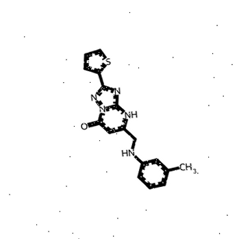 Cc1cccc(NCc2cc(=O)n3nc(-c4cccs4)nc3[nH]2)c1